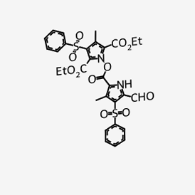 CCOC(=O)c1c(C)c(S(=O)(=O)c2ccccc2)c(C(=O)OCC)n1OC(=O)c1[nH]c(C=O)c(S(=O)(=O)c2ccccc2)c1C